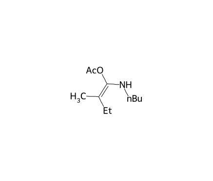 CCCCN/C(OC(C)=O)=C(/C)CC